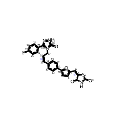 O=C1NC(=O)/C(=C\c2ccc(-c3ccc(/C=C\Cn4c(-c5ccc(F)cc5)n[nH]c4=O)cc3)o2)S1